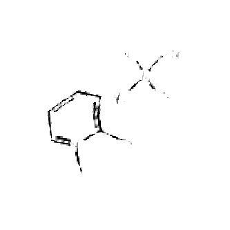 CC[n+]1ccccc1Br.N#C[B-](C#N)(C#N)C#N